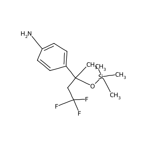 CC(CC(F)(F)F)(O[Si](C)(C)C)c1ccc(N)cc1